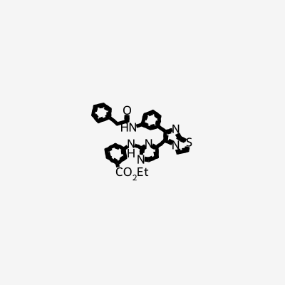 CCOC(=O)c1cccc(Nc2nccc(-c3c(-c4cccc(NC(=O)Cc5ccccc5)c4)nc4sccn34)n2)c1